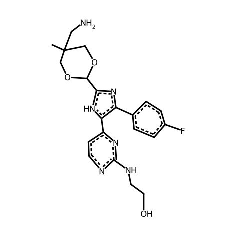 CC1(CN)COC(c2nc(-c3ccc(F)cc3)c(-c3ccnc(NCCO)n3)[nH]2)OC1